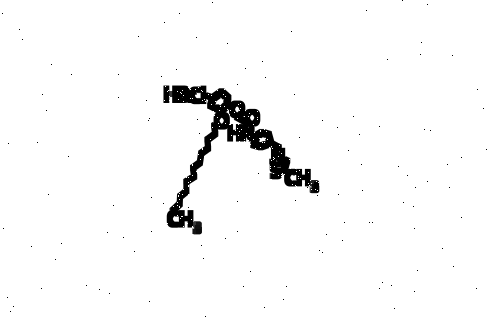 Br.CCCCCCCCCCCCCCOc1cc(Cl)ccc1OCC(=O)Nc1ccc(CN2C=C(C)SC2)cc1